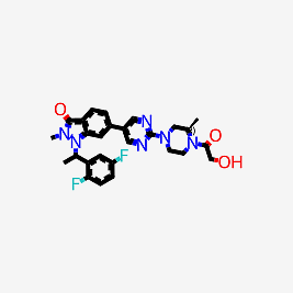 CC(c1cc(F)ccc1F)n1c2cc(-c3cnc(N4CCN(C(=O)CO)[C@H](C)C4)nc3)ccc2c(=O)n1C